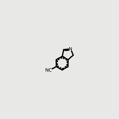 N#Cc1ccc2c(c1)C=NC2